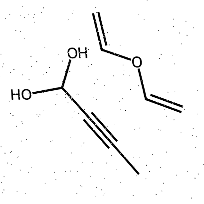 C=COC=C.CC#CC(O)O